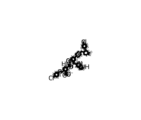 CC1(C)CCC(CN2CCN(c3ccc(S(=O)(=O)NC(=O)c4ccc(COc5ccc(Cl)cc5)c([N+](=O)[O-])c4)c(Cc4cnc5[nH]ccc5c4)c3)CC2)=C(c2ccc(Cl)cc2)C1